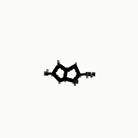 CCc1cc2[nH]c(C(=O)O)cc2s1